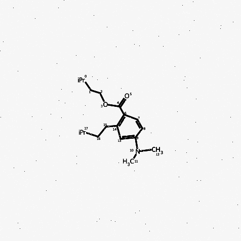 CC(C)CCOC(=O)c1ccc(N(C)C)cc1CCC(C)C